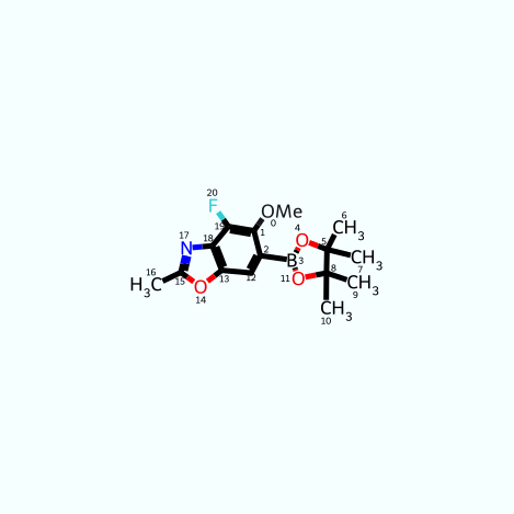 COc1c(B2OC(C)(C)C(C)(C)O2)cc2oc(C)nc2c1F